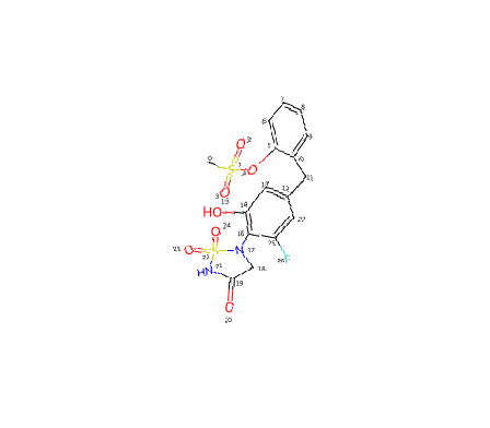 CS(=O)(=O)Oc1ccccc1Cc1cc(O)c(N2CC(=O)NS2(=O)=O)c(F)c1